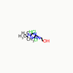 CC(C)N(C)c1cnc(CNCCO)c(Cl)n1.Cl